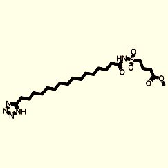 COC(=O)CCCS(=O)(=O)NC(=O)CCCCCCCCCCCCCCCc1nnn[nH]1